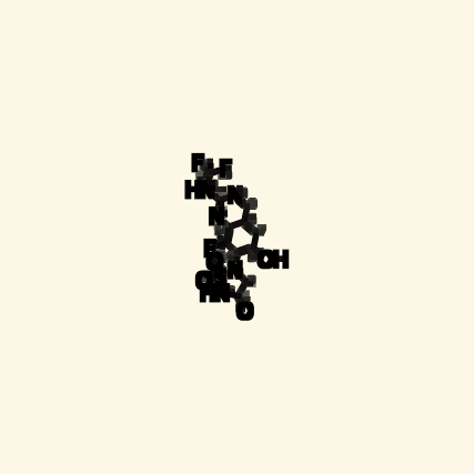 O=C1CN(c2c(O)cc3cnc(NC(F)F)nc3c2F)S(=O)(=O)N1